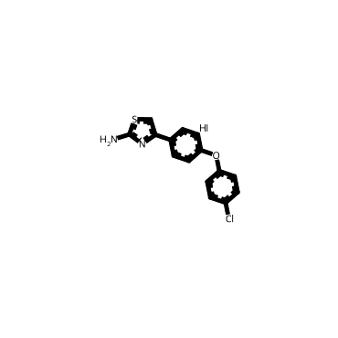 I.Nc1nc(-c2ccc(Oc3ccc(Cl)cc3)cc2)cs1